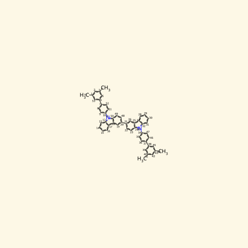 Cc1cc(C)cc(-c2ccc(-n3c4ccccc4c4cc(-c5ccc6c(c5)c5ccccc5n6-c5ccc(-c6cc(C)cc(C)c6)cc5)ccc43)cc2)c1